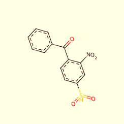 O=C(c1ccccc1)c1ccc([SH](=O)=O)cc1[N+](=O)[O-]